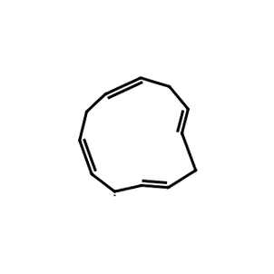 [CH]1/C=C\C/C=C\C/C=C/C/C=C/1